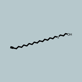 C#CCCCCCCCCCCCCCCCCSCCCO